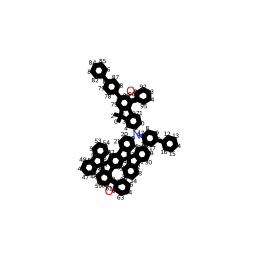 CC1(C)c2cc(N(c3ccc(-c4ccccc4)cc3)c3ccc4c(c3)C3(c5ccccc5-c5ccccc53)c3cc5c(cc3-4)C3(c4ccccc4-c4ccccc43)c3ccc4oc6ccccc6c4c3-5)ccc2-c2c1cc(-c1ccc(-c3ccccc3)cc1)c1oc3ccccc3c21